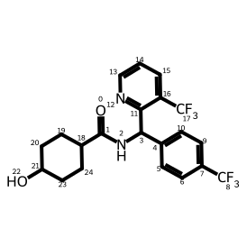 O=C(NC(c1ccc(C(F)(F)F)cc1)c1ncccc1C(F)(F)F)C1CCC(O)CC1